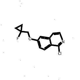 FC1(COc2ccc3c(Cl)nccc3c2)CC1